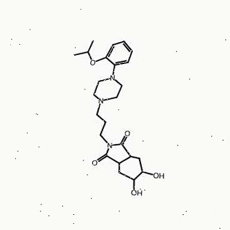 CC(C)Oc1ccccc1N1CCN(CCCN2C(=O)C3CC(O)C(O)CC3C2=O)CC1